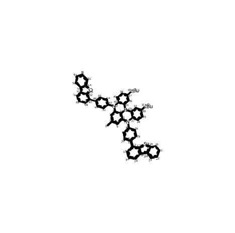 Cc1cc2c3c(c1)N(c1ccc(-c4cccc5c4sc4ccccc45)cc1)c1ccc(C(C)(C)C)cc1B3c1cc(C(C)(C)C)ccc1N2c1ccc(-c2cccc3c2oc2ccccc23)cc1